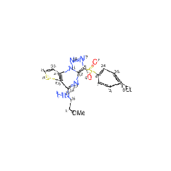 CCc1ccc(S(=O)(=O)c2nnn3c2nc(NCCOC)c2sccc23)cc1